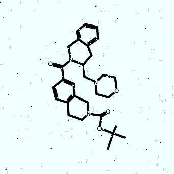 CC(C)(C)OC(=O)N1CCc2ccc(C(=O)N3Cc4ccccc4C[C@H]3CN3CCOCC3)cc2C1